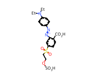 CCN(CC)c1ccc(/N=N/c2cc(S(=O)(=O)CCOS(=O)(=O)O)ccc2C(=O)O)cc1